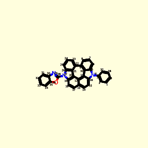 c1ccc(-n2c3cccc4c3c3c5c(ccc32)ccc2c5c3c-4cccc3n2-c2nc3ccccc3o2)cc1